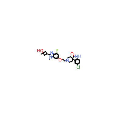 Cn1c(C2CC(C)(O)C2)nc2c(F)cc(OCCN3CCC4(CC3)C(=O)Nc3ccc(Cl)cc34)cc21